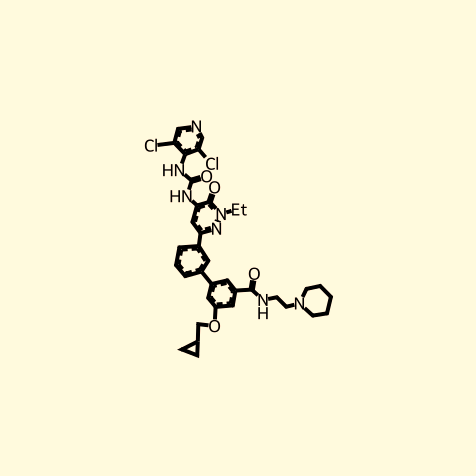 CCn1nc(-c2cccc(-c3cc(OCC4CC4)cc(C(=O)NCCN4CCCCC4)c3)c2)cc(NC(=O)Nc2c(Cl)cncc2Cl)c1=O